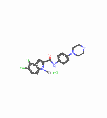 CCn1c(C(=O)Nc2ccc(N3CCNCC3)cc2)cc2c(Cl)c(Cl)ccc21.Cl